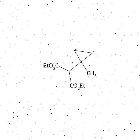 CCOC(=O)C(C(=O)OCC)C1(C)CC1